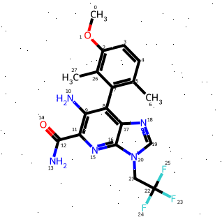 COc1ccc(C)c(-c2c(N)c(C(N)=O)nc3c2ncn3CC(F)(F)F)c1C